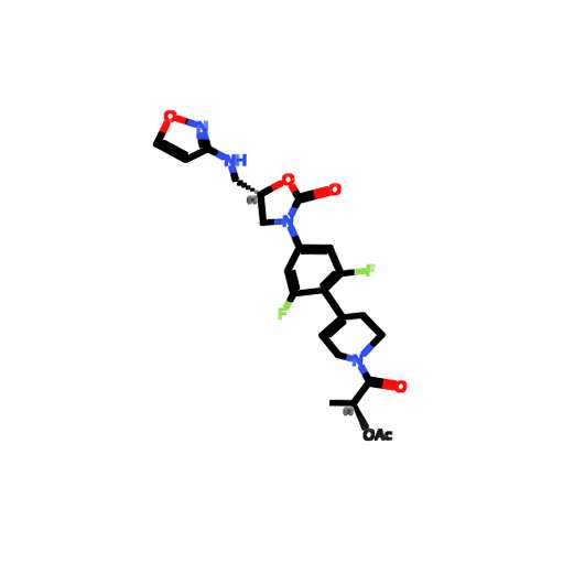 CC(=O)O[C@@H](C)C(=O)N1CC=C(c2c(F)cc(N3C[C@H](CNc4ccon4)OC3=O)cc2F)CC1